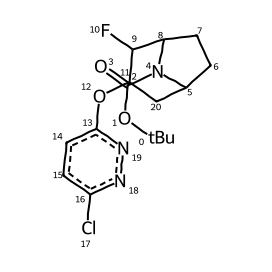 CC(C)(C)OC(=O)N1C2CCC1C(F)C(Oc1ccc(Cl)nn1)C2